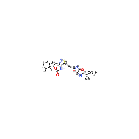 Cc1ccccc1COC(=O)Nc1c(C2CC2)nsc1C#Cc1nc2oc(C3(C(=O)O)CC3)nc2o1